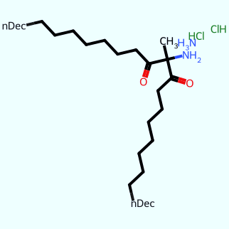 CCCCCCCCCCCCCCCCCC(=O)C(C)(N)C(=O)CCCCCCCCCCCCCCCCC.Cl.Cl.N